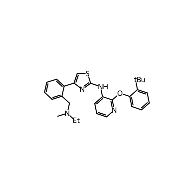 CCN(C)Cc1ccccc1-c1csc(Nc2cccnc2Oc2ccccc2C(C)(C)C)n1